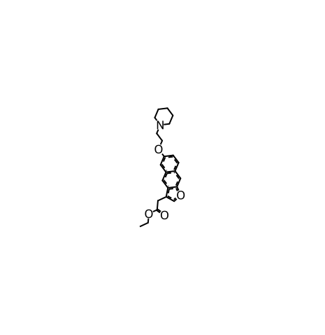 CCOC(=O)Cc1coc2cc3ccc(OCCN4CCCCC4)cc3cc12